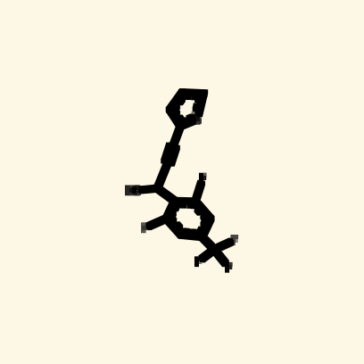 OC(C#Cc1cccs1)c1c(F)cc(C(F)(F)F)cc1F